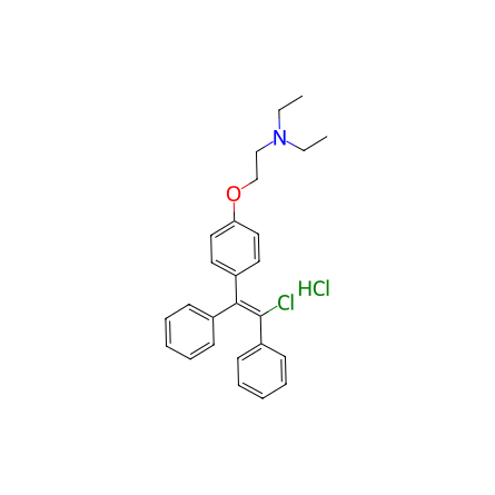 CCN(CC)CCOc1ccc(C(=C(Cl)c2ccccc2)c2ccccc2)cc1.Cl